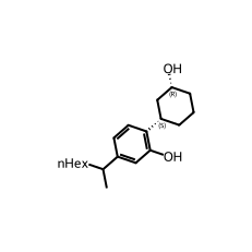 CCCCCCC(C)c1ccc([C@H]2CCC[C@@H](O)C2)c(O)c1